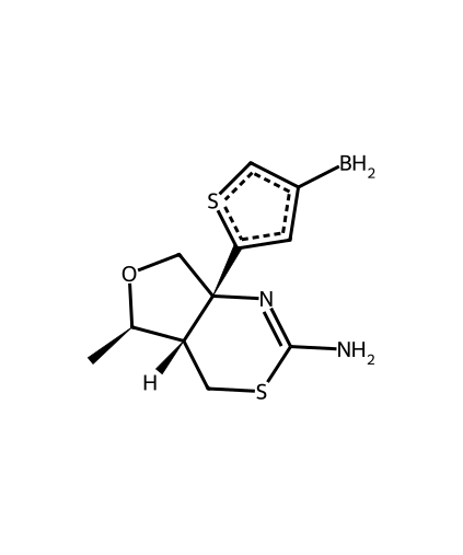 Bc1csc([C@]23CO[C@H](C)[C@H]2CSC(N)=N3)c1